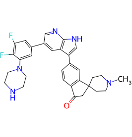 CN1CCC2(CC1)CC(=O)c1ccc(-c3c[nH]c4ncc(-c5cc(F)c(F)c(N6CCNCC6)c5)cc34)cc12